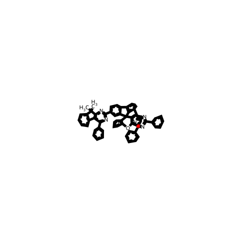 CC1(C)c2ccccc2-c2c(-c3ccccc3)nc(-c3ccc4c(c3)C3(c5ccccc5Oc5ccccc53)c3c(-c5nc(-c6ccccc6)nc(-c6ccccc6)n5)cccc3-4)nc21